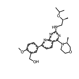 COc1ccc(-c2ccc3c(N4CCOC[C@@H]4C)nc(NC[C@H](C)OC(C)C)nc3n2)cc1CO